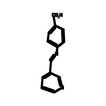 O=C(O)c1ccc(N=Cc2cccnc2)cc1